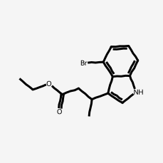 CCOC(=O)CC(C)c1c[nH]c2cccc(Br)c12